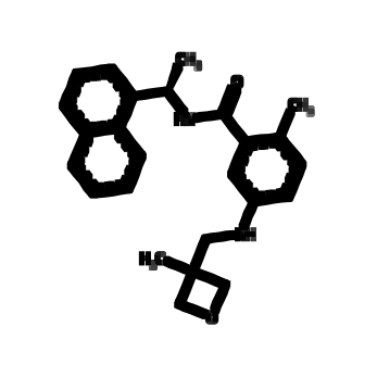 Cc1ccc(NCC2(C)COC2)cc1C(=O)N[C@H](C)c1cccc2ccccc12